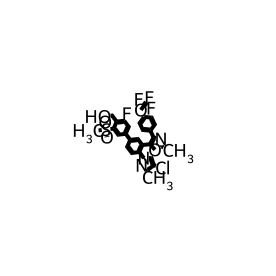 Cc1nc(-c2ccc(OC(F)(F)F)cc2)c(-c2cc(-c3cc(F)c(CO)c(S(C)(=O)=O)c3)ccc2-n2cc(Cl)c(C)n2)o1